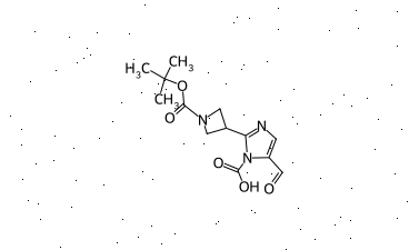 CC(C)(C)OC(=O)N1CC(c2ncc(C=O)n2C(=O)O)C1